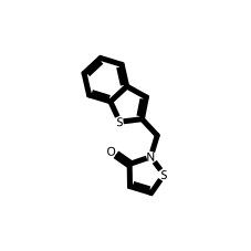 O=c1ccsn1Cc1cc2ccccc2s1